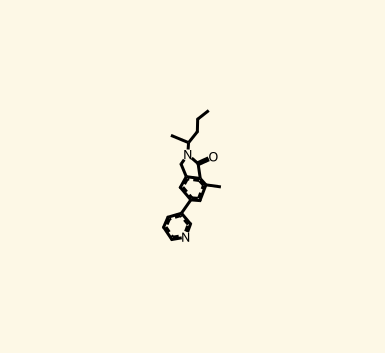 CCCC(C)N1Cc2cc(-c3cccnc3)cc(C)c2C1=O